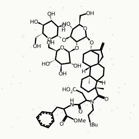 C=C1C[C@@]23CC[C@H]4[C@@](C)(CCC[C@@]4(C)C(=O)N(CCC(C)(C)C)C(CC(=O)O)C(=O)NC(Cc4ccccc4)C(=O)OC)[C@@H]2CC[C@]1(O[C@@H]1O[C@H](CO)[C@@H](O)[C@H](O[C@@H]2O[C@H](CO)[C@@H](O)[C@H](O)[C@H]2O)[C@H]1O[C@@H]1O[C@H](CO)[C@@H](O)[C@H](O)[C@H]1O)C3